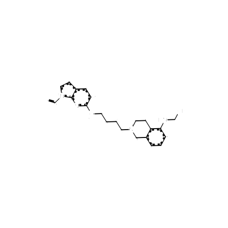 CCNc1cccc2c1CCN(CCCCOc1ccc3ccn(C=O)c3n1)C2